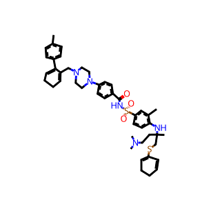 Cc1ccc(C2=CCCC=C2CN2CCN(c3ccc(C(=O)NS(=O)(=O)c4ccc(NC(C)(CCN(C)C)CSC5=CCCC=C5)c(C)c4)cc3)CC2)cc1